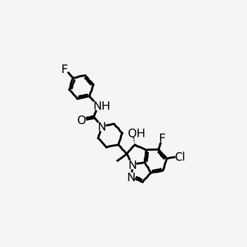 CC1(C2CCN(C(=O)Nc3ccc(F)cc3)CC2)[C@H](O)c2c(F)c(Cl)cc3cnn1c23